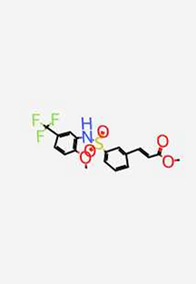 COC(=O)/C=C/c1cccc(S(=O)(=O)Nc2cc(C(F)(F)F)ccc2OC)c1